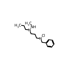 CCCN(CCCN(Cl)Cc1ccccc1)NC